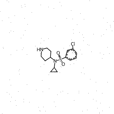 O=S(=O)(c1cccc(Cl)c1)N(C1CCNCC1)C1CC1